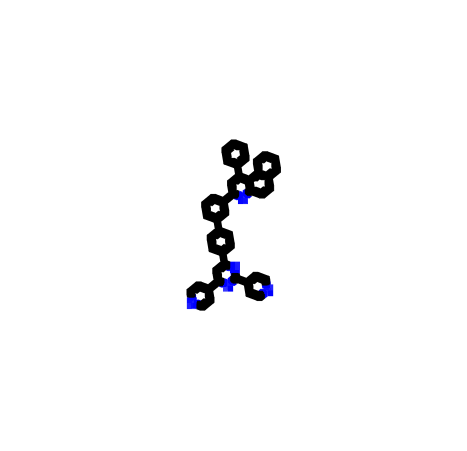 c1ccc(-c2cc(-c3cccc(-c4ccc(-c5cc(-c6ccncc6)nc(-c6ccncc6)n5)cc4)c3)nc3ccc4ccccc4c23)cc1